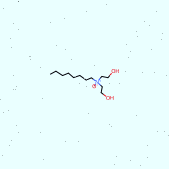 CCCCCCCC[N+]([O-])(CCO)CCO